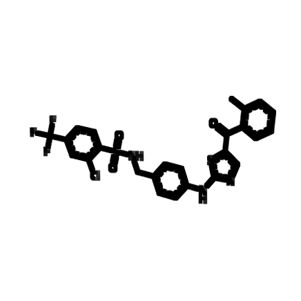 Cc1ccccc1C(=O)c1cnc(Nc2ccc(CNS(=O)(=O)c3ccc(C(F)(F)F)cc3Cl)cc2)s1